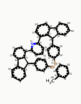 Brc1ccc(C2c3ccccc3-c3cccc(-c4cccc(-c5cccc6c5C(c5ccc(Br)cc5)c5ccccc5-6)n4)c32)cc1.Cc1ccccc1